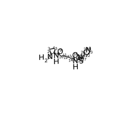 Nc1ccccc1NC(=O)CCCCCC(=O)Nc1nc(-c2ccncc2)cs1